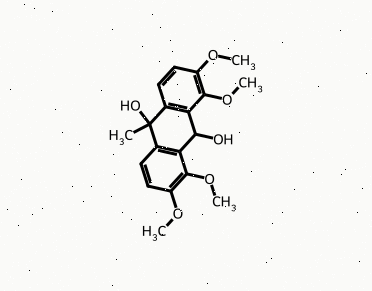 COc1ccc2c(c1OC)C(O)c1c(ccc(OC)c1OC)C2(C)O